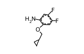 Nc1cc(F)c(F)cc1OCC1CC1